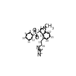 Cn1cc(S(=O)(=O)c2ccccc2)c2c(CCN=[N+]=[N-])cccc21